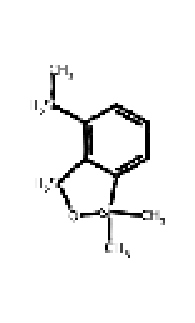 C[SiH2]c1cccc2c1[SiH2]O[Si]2(C)C